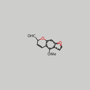 COc1c2c(cc3occc13)OC(C=O)C=C2